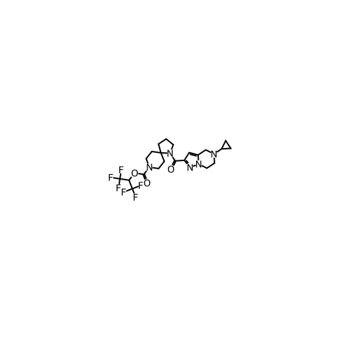 O=C(OC(C(F)(F)F)C(F)(F)F)N1CCC2(CCCN2C(=O)c2cc3n(n2)CCN(C2CC2)C3)CC1